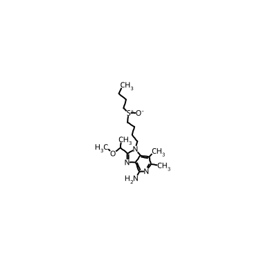 CCCC[S+]([O-])CCCCn1c(C(C)OC)nc2c(N)nc(C)c(C)c21